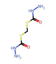 NNC(=O)SCSC(=O)NN